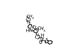 CN1CCN(c2ccc(Nc3cc(N4CCC[C@@H](NC(=O)c5cc6ccccc6s5)C4)cn(C)c3=O)nc2)CC1